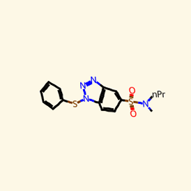 CCCN(C)S(=O)(=O)c1ccc2c(c1)nnn2Sc1ccccc1